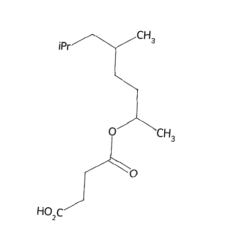 CC(C)CC(C)CCC(C)OC(=O)CCC(=O)O